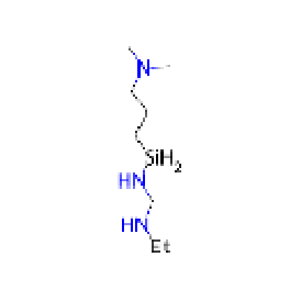 CCNCN[SiH2]CCCN(C)C